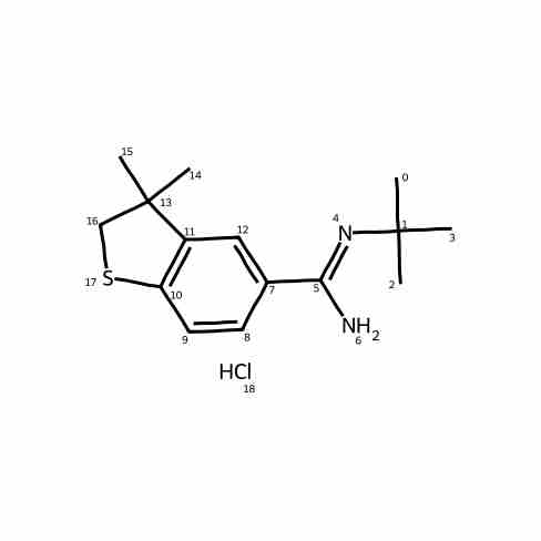 CC(C)(C)N=C(N)c1ccc2c(c1)C(C)(C)CS2.Cl